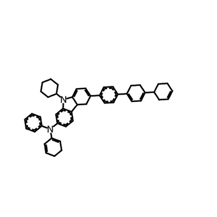 C1=CC(N(c2ccccc2)c2ccc3c(c2)N(C2CCCCC2)C2=CC=C(c4ccc(C5=CC=C(C6CC=CCC6)CC5)cc4)CC23)=CCC1